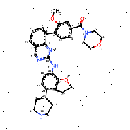 COc1cc(C(=O)N2CCOCC2)ccc1-c1cccc2cnc(Nc3ccc(C4CCNCC4)c4c3OCC4)nc12